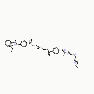 CC/N=C/C=C\C=C\C(C)=C\c1ccc(NCCSSCCNc2ccc(/C=C(\C)c3cccc[n+]3CC)cc2)cc1